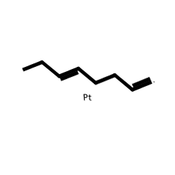 [CH]=CCCC=CCC.[Pt]